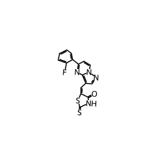 O=C1NC(=S)S/C1=C/c1cnn2ccc(-c3ccccc3F)nc12